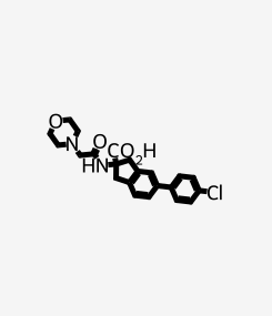 O=C(CN1CCOCC1)NC1(C(=O)O)Cc2ccc(-c3ccc(Cl)cc3)cc2C1